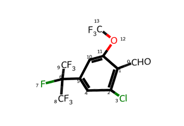 O=Cc1c(Cl)cc(C(F)(C(F)(F)F)C(F)(F)F)cc1OC(F)(F)F